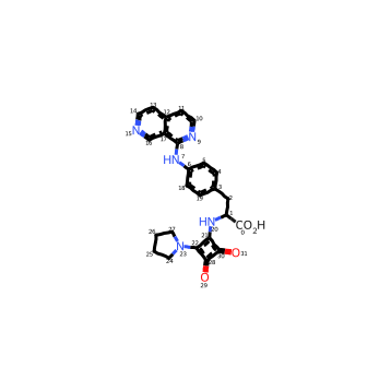 O=C(O)C(Cc1ccc(Nc2nccc3ccncc23)cc1)Nc1c(N2CCCC2)c(=O)c1=O